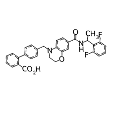 CC(NC(=O)c1ccc2c(c1)OCCN2Cc1ccc(-c2ccccc2C(=O)O)cc1)c1c(F)cccc1F